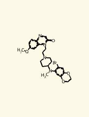 COc1ccc2ncc(=O)n(CCN3CCC(N(C)c4cc5c(cc4Br)OCCO5)CC3)c2c1